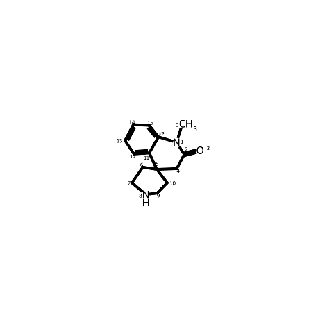 CN1C(=O)CC2(CCNCC2)c2ccccc21